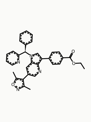 CCOC(=O)c1ccc(-c2cn([C@H](c3ccccc3)c3ccccn3)c3cc(-c4c(C)noc4C)cnc23)cc1